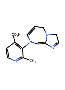 Cc1nccc(C(=O)O)c1N1C=CCN2CC=NC2=C1